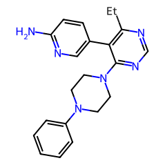 CCc1ncnc(N2CCN(c3ccccc3)CC2)c1-c1ccc(N)nc1